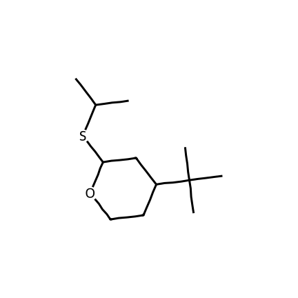 CC(C)SC1CC(C(C)(C)C)CCO1